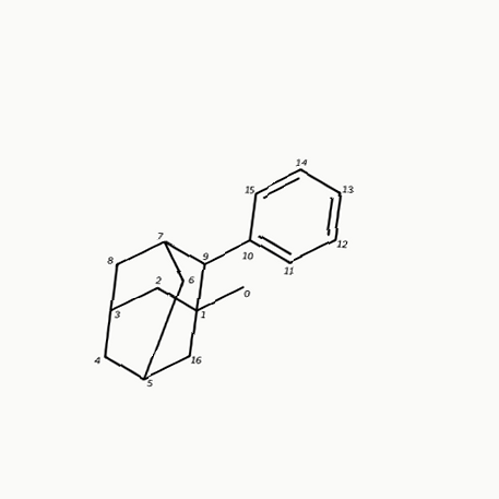 CC12CC3CC(CC(C3)C1c1ccccc1)C2